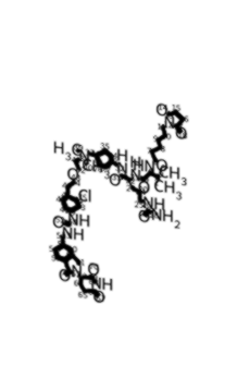 CC(C)[C@H](NC(=O)CCCCCN1C(=O)C=CC1=O)C(=O)N[C@@H](CCCNC(N)=O)C(=O)Nc1ccc(C[N+](C)(C)CCOCCc2ccc(NC(=O)NCc3ccc4c(c3)CN(C3CCC(=O)NC3=O)C4=O)cc2Cl)cc1